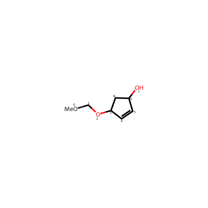 COCOC1C=CC(O)C1